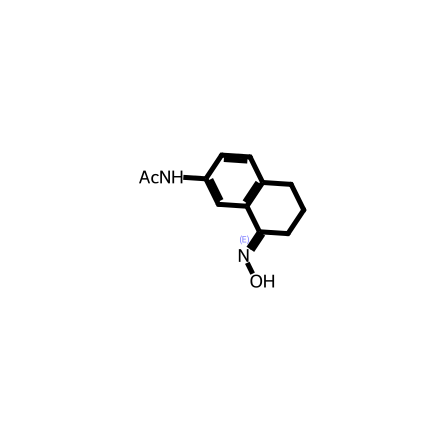 CC(=O)Nc1ccc2c(c1)/C(=N/O)CCC2